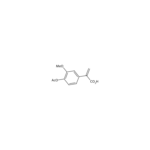 C=C(C(=O)O)c1ccc(OC(C)=O)c(OC)c1